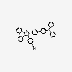 N#Cc1ccc(N2C(c3ccc(-c4ccc(N(c5ccccc5)c5ccccc5)cc4)cc3)=NC3c4ccccc4-c4ccccc4C32)cc1